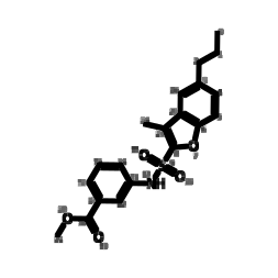 CCCc1ccc2oc(S(=O)(=O)Nc3cccc(C(=O)OC)c3)c(C)c2c1